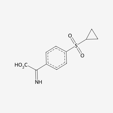 N=C(C(=O)O)c1ccc(S(=O)(=O)C2CC2)cc1